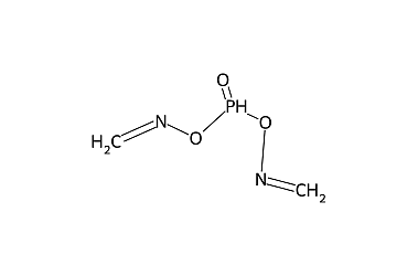 C=NO[PH](=O)ON=C